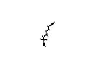 C#CCCCC(=O)OC(C)(C)C#C